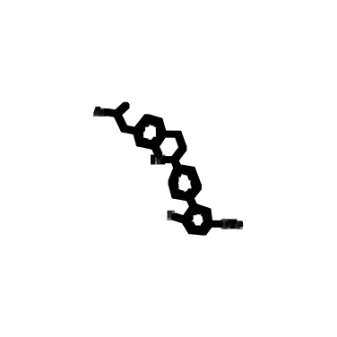 COc1ccc(F)c(-c2ccc(C3CCc4ccc(CC(C)C(C)=O)cc4N3)cc2)c1